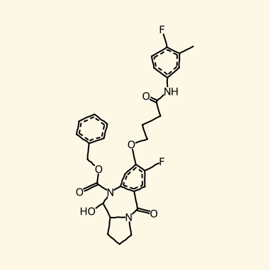 Cc1cc(NC(=O)CCCOc2cc3c(cc2F)C(=O)N2CCCC2C(O)N3C(=O)OCc2ccccc2)ccc1F